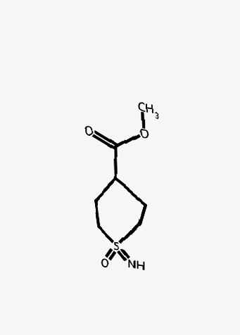 COC(=O)C1CCS(=N)(=O)CC1